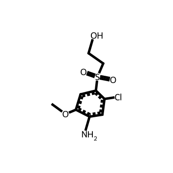 COc1cc(S(=O)(=O)CCO)c(Cl)cc1N